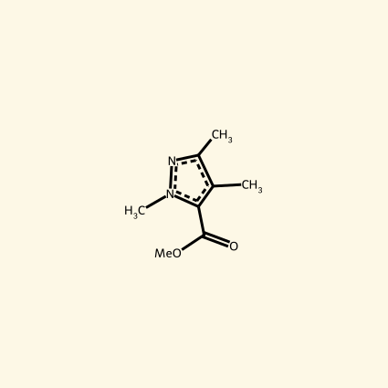 COC(=O)c1c(C)c(C)nn1C